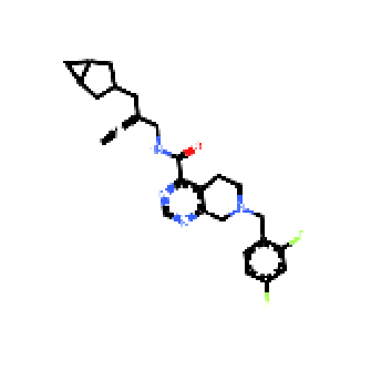 C=C=C(CNC(=O)c1ncnc2c1CCN(Cc1ccc(F)cc1F)C2)CC1CC2CC2C1